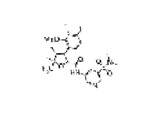 COc1c([C@H]2[C@H](C(=O)Nc3cncc(S(=O)(=O)N(C)C)c3)O[C@@](C)(C(F)(F)F)[C@H]2C)ccc(F)c1F